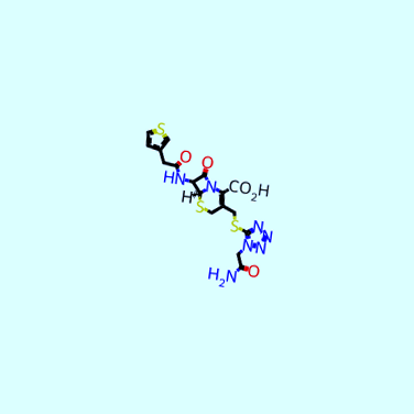 NC(=O)Cn1nnnc1SCC1=C(C(=O)O)N2C(=O)C(NC(=O)Cc3ccsc3)[C@H]2SC1